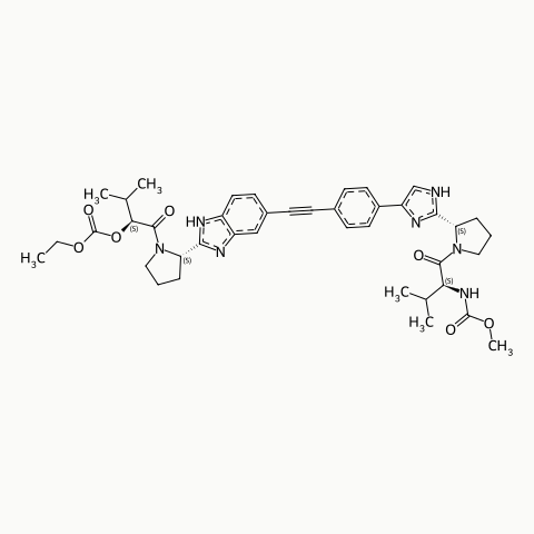 CCOC(=O)O[C@H](C(=O)N1CCC[C@H]1c1nc2cc(C#Cc3ccc(-c4c[nH]c([C@@H]5CCCN5C(=O)[C@@H](NC(=O)OC)C(C)C)n4)cc3)ccc2[nH]1)C(C)C